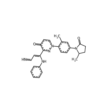 Cc1cc(N2C(=O)CCC2C)ccc1-n1ccc(=O)c(/C(=C/C=N)Nc2ccccc2)n1